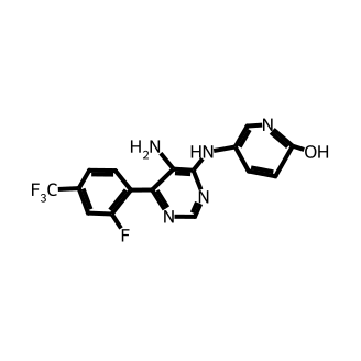 Nc1c(Nc2ccc(O)nc2)ncnc1-c1ccc(C(F)(F)F)cc1F